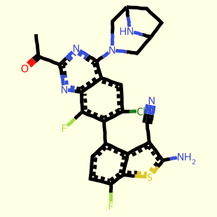 CC(=O)c1nc(N2CC3CCC(C2)N3)c2cc(Cl)c(-c3ccc(F)c4sc(N)c(C#N)c34)c(F)c2n1